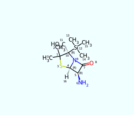 CC1(C)S[C@@H]2[C@H](N)C(=O)N2[C@]1(C(=O)O)[Si](C)(C)C